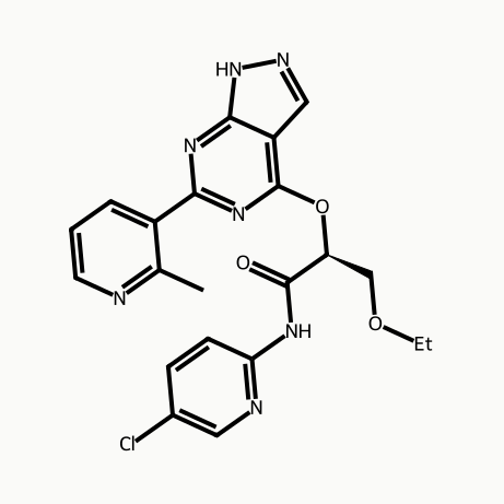 CCOC[C@H](Oc1nc(-c2cccnc2C)nc2[nH]ncc12)C(=O)Nc1ccc(Cl)cn1